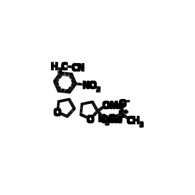 C1CCOC1.CC#N.COC1(OC)CCCO1.C[S+](C)[O-].O=[N+]([O-])c1ccccc1